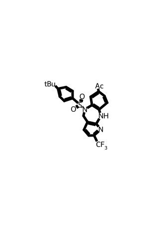 CC(=O)c1ccc2c(c1)N(S(=O)(=O)c1ccc(C(C)(C)C)cc1)Cc1ccc(C(F)(F)F)nc1N2